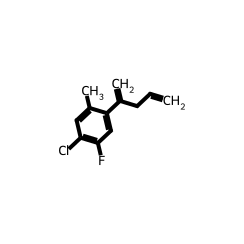 C=CCC(=C)c1cc(F)c(Cl)cc1C